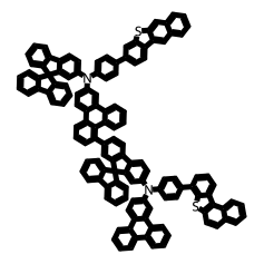 c1ccc2c(c1)-c1ccccc1C21c2ccccc2-c2ccc(N(c3ccc(-c4ccc5c(c4)sc4cc6ccccc6cc45)cc3)c3ccc4c(c3)c3ccccc3c3c(-c5ccc6c(c5)C5(c7ccccc7-c7ccccc75)c5cc(N(c7ccc(-c8cccc9c8sc8ccc%10ccccc%10c89)cc7)c7ccc8c9ccccc9c9ccccc9c8c7)ccc5-6)cccc43)cc21